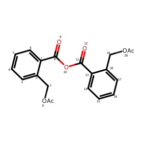 CC(=O)OCc1ccccc1C(=O)OC(=O)c1ccccc1COC(C)=O